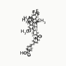 COc1cc2nc(C)nc(N[C@H](C)c3cc(N)cc(C(F)(F)F)c3)c2cc1C1CCC(C(=O)N2CCC(CCC3CCN(C(=O)O)CC3)CC2)CC1